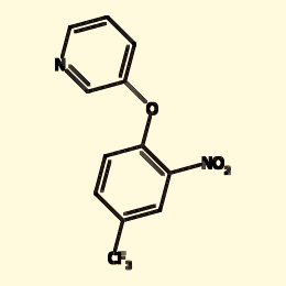 O=[N+]([O-])c1cc(C(F)(F)F)ccc1Oc1cccnc1